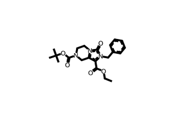 CCOC(=O)c1c2n(c(=O)n1Cc1ccccc1)CCN(C(=O)OC(C)(C)C)C2